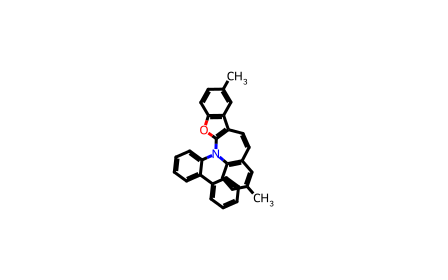 Cc1ccc2c(c1)C=Cc1c(oc3ccc(C)cc13)N2c1ccccc1-c1ccccc1